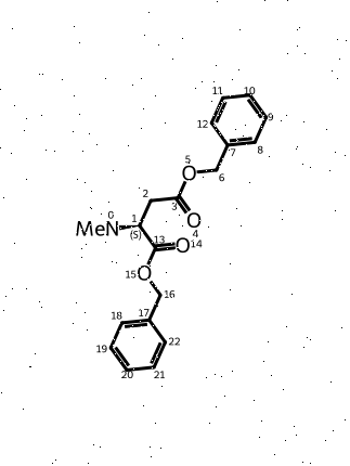 CN[C@@H](CC(=O)OCc1ccccc1)C(=O)OCc1ccccc1